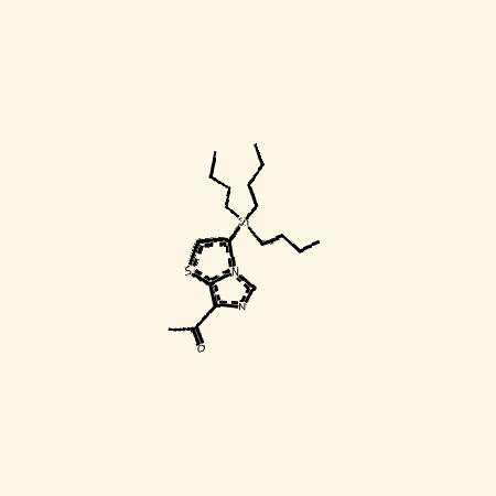 CCC[CH2][Sn]([CH2]CCC)([CH2]CCC)[c]1csc2c(C(C)=O)ncn12